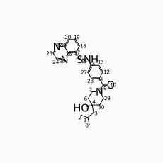 CC(C)CC1(O)CCN(C(=O)c2ccc(NSc3cccc4nccnc34)cc2)CC1